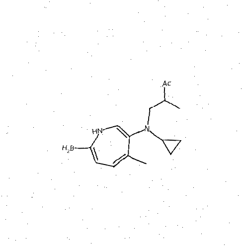 BC1=CC=C(C)C(N(CC(C)C(C)=O)C2CC2)=CN1